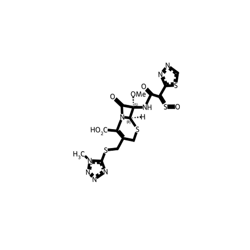 CO[C@@]1(NC(=O)C(=S=O)c2nncs2)C(=O)N2C(C(=O)O)=C(CSc3nnnn3C)CS[C@@H]21